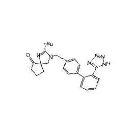 CCCCC1=NC2(CCCC2=O)CN1Cc1ccc(-c2ccccc2-c2nnn[nH]2)cc1